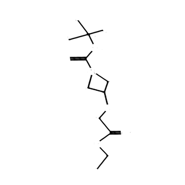 CCOC(=O)CSC1CN(C(=O)OC(C)(C)C)C1